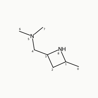 CC1CC(CN(C)C)N1